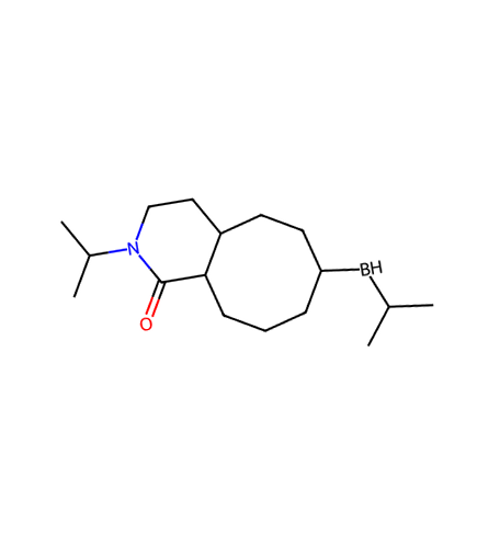 CC(C)BC1CCCC2C(=O)N(C(C)C)CCC2CC1